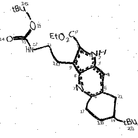 CCOC(=O)c1[nH]c2cc3c(nc2c1CCNC(=O)OC(C)(C)C)CCC(C(C)(C)C)C3